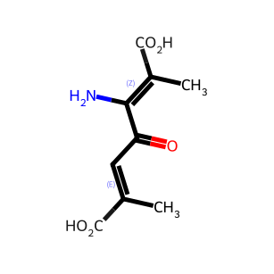 C/C(C(=O)O)=C(/N)C(=O)/C=C(\C)C(=O)O